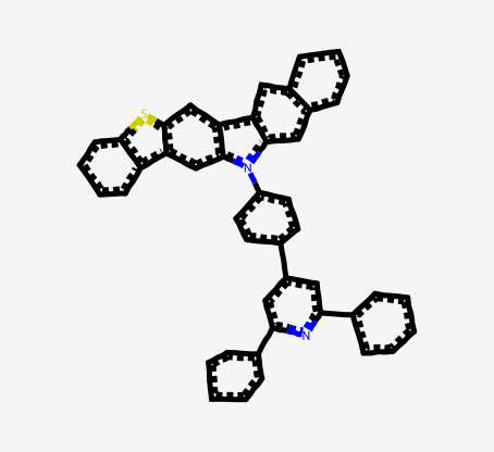 c1ccc(-c2cc(-c3ccc(-n4c5cc6ccccc6cc5c5cc6sc7ccccc7c6cc54)cc3)cc(-c3ccccc3)n2)cc1